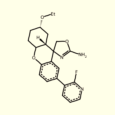 CCO[C@H]1CCC2Oc3ccc(-c4cccnc4F)cc3C3(COC(N)=N3)[C@H]2C1